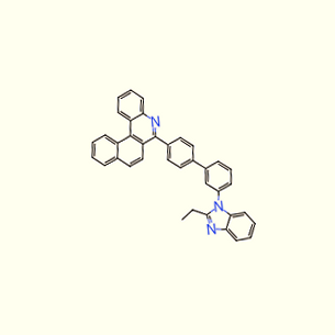 CCc1nc2ccccc2n1-c1cccc(-c2ccc(-c3nc4ccccc4c4c3ccc3ccccc34)cc2)c1